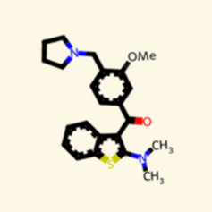 COc1cc(C(=O)c2c(N(C)C)sc3ccccc23)ccc1CN1CCCC1